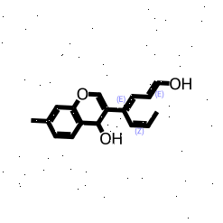 C\C=C/C(=C\C=C\O)C1=COc2cc(C)ccc2C1O